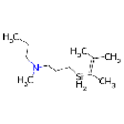 CCCN(C)CCC[SiH2]C(C)=C(C)C